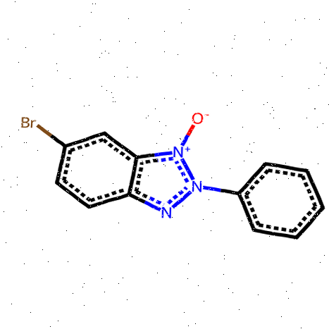 [O-][n+]1c2cc(Br)ccc2nn1-c1ccccc1